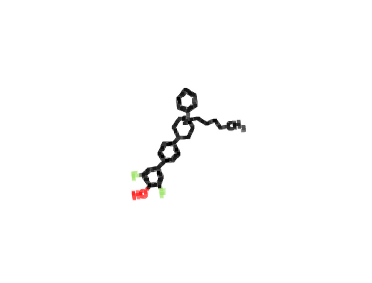 CCCCC[Si]1(c2ccccc2)CCC(c2ccc(-c3cc(F)c(O)c(F)c3)cc2)CC1